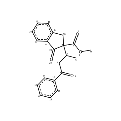 COC(=O)C1(C(C)CC(=O)c2ccccc2)Cc2ccccc2C1=O